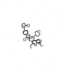 CCc1nc2c(cnn2CC)c(NC2CCOCC2)c1CNC(=O)c1ccc(N2CCCC2=O)cc1